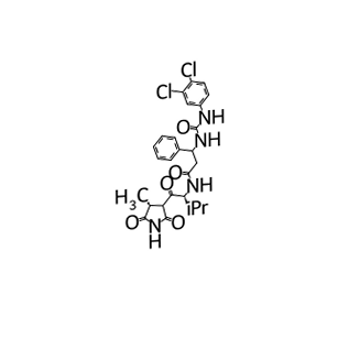 CC(C)[C@H](NC(=O)CC(NC(=O)Nc1ccc(Cl)c(Cl)c1)c1ccccc1)C(=O)C1C(=O)NC(=O)[C@H]1C